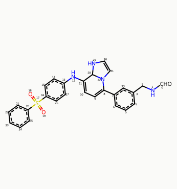 O=CNCc1cccc(C2=CC=C(Nc3ccc(S(=O)(=O)c4ccccc4)cc3)C3NC=CN23)c1